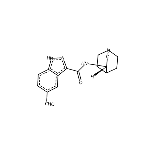 O=Cc1ccc2[nH]nc(C(=O)N[C@@H]3CN4CCC3CC4)c2c1